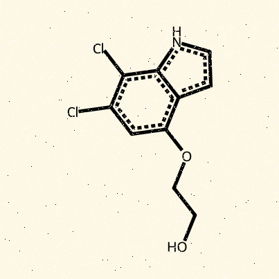 OCCOc1cc(Cl)c(Cl)c2[nH]ccc12